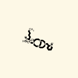 CCCCCC([PH](=O)O)P(=O)(O)CN1CCCN2CCN(CCCN(Cc3cccc[n+]3[O-])CC2)CC1